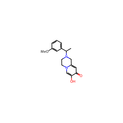 COc1cccc(C(C)N2CCn3cc(O)c(=O)cc3C2)c1